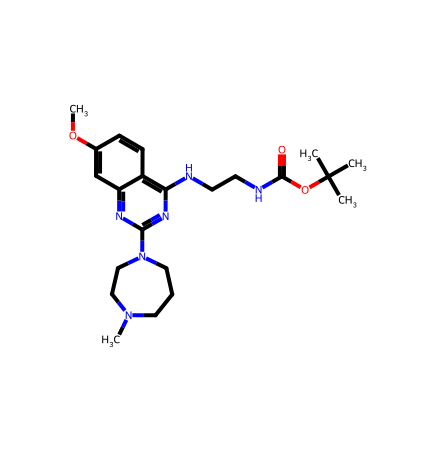 COc1ccc2c(NCCNC(=O)OC(C)(C)C)nc(N3CCCN(C)CC3)nc2c1